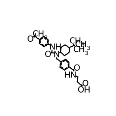 CC(=O)c1ccc(NC(=O)N(Cc2ccc(C(=O)NCCC(=O)O)cc2)C2CCC(C(C)(C)C)CC2)cc1